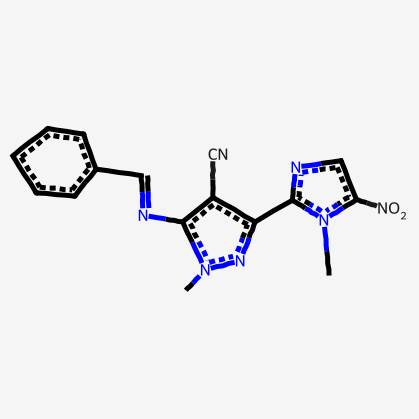 Cn1nc(-c2ncc([N+](=O)[O-])n2C)c(C#N)c1N=Cc1ccccc1